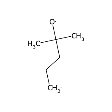 [CH2]CCC(C)(C)[O]